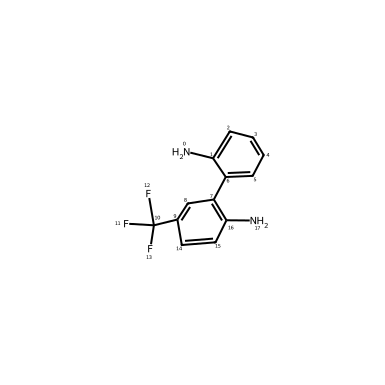 Nc1ccccc1-c1cc(C(F)(F)F)ccc1N